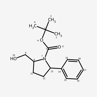 CC(C)(C)OC(=O)N1C(CO)CCC1c1ccccc1